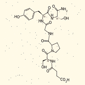 NC(=O)[C@H](CO)NC(=O)[C@H](Cc1ccc(O)cc1)NC(=O)CNC(=O)C1CCCN1C(=O)[C@H](CO)NC(=O)CCC(=O)O